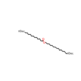 CCCCCCCCCCCCCCCCCCCCCCCCOC(=O)CCCCCCCCCCCCCCCCCCCCC